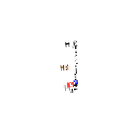 Br.CCCCCCCCCCCCCCCCCCN(CC)CO